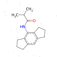 [CH2][C](C)C(=O)Nc1c2c(cc3c1CCC3)CCC2